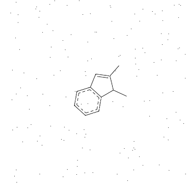 CC1=Cc2[c]cccc2C1C